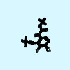 CC(C)(C)OC(=O)Nc1cnc(Cl)c(F)c1C#C[Si](C)(C)C